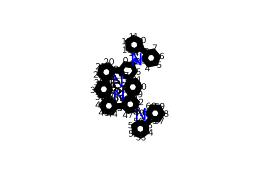 C1=C(n2c3ccccc3c3ccccc32)CCc2c1c1ccccc1n2[Si](c1ccccc1)(c1ccccc1)n1c2ccccc2c2cc(-n3c4ccccc4c4ccccc43)ccc21